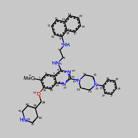 COc1cc2c(NCCNc3cccc4ccccc34)nc(N3CCN(c4ccccc4)CC3)nc2cc1OCC1CCNCC1